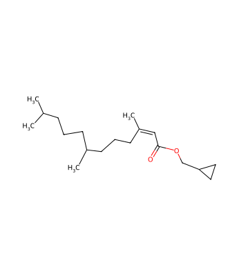 CC(=CC(=O)OCC1CC1)CCCC(C)CCCC(C)C